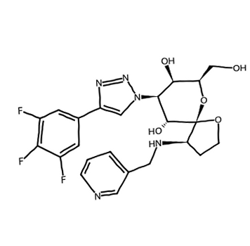 OC[C@H]1O[C@]2(OCC[C@H]2NCc2cccnc2)[C@H](O)[C@@H](n2cc(-c3cc(F)c(F)c(F)c3)nn2)[C@H]1O